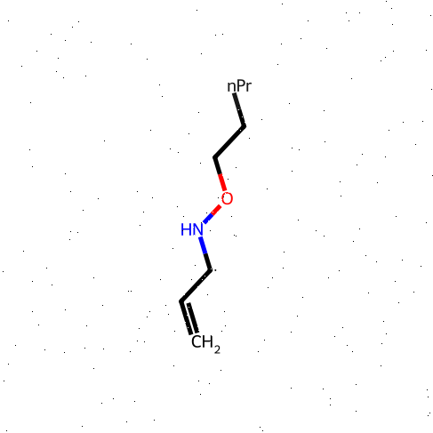 C=C[CH]NOCCCCC